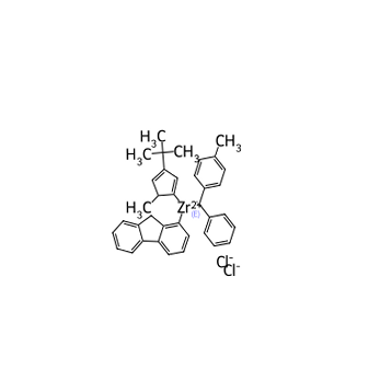 Cc1ccc(/[C](c2ccccc2)=[Zr+2](\[C]2=CC(C(C)(C)C)=CC2C)[c]2cccc3c2Cc2ccccc2-3)cc1.[Cl-].[Cl-]